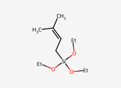 CCO[Si](CC=C(C)C)(OCC)OCC